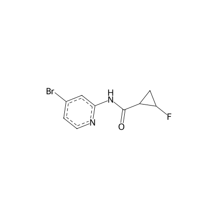 O=C(Nc1cc(Br)ccn1)C1CC1F